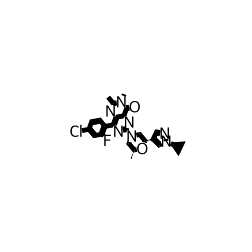 Cc1nc2c(-c3ccc(Cl)cc3F)nc(N3C[C@@H](C)O[C@@H](c4cnn(C5CC5)c4)C3)nc2c(=O)n1C